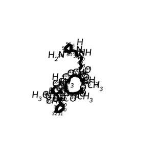 CC[C@H]1OC(=O)[C@@](C)(F)C(=O)[C@H](C)[C@@H](OC2O[C@H](C)C[C@H](N(C)C)[C@H]2OC(=O)c2ccccc2)[C@@](C)(OC)C[C@@H](C)C(=O)[C@H](C)C2N(CCCCN3C=C(c4cccc(N)c4)NN3)C(=O)O[C@@]21C